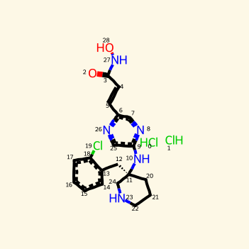 Cl.Cl.O=C(/C=C/c1cnc(N[C@@]2(Cc3ccccc3Cl)CCCNC2)cn1)NO